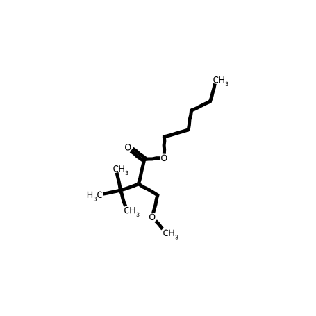 CCCCCOC(=O)C(COC)C(C)(C)C